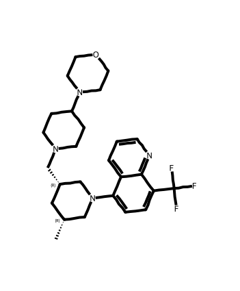 C[C@@H]1C[C@H](CN2CCC(N3CCOCC3)CC2)CN(c2ccc(C(F)(F)F)c3ncccc23)C1